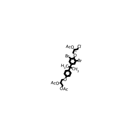 CC(=O)OC[C@@H](COc1ccc(C(C)(C)c2cc(Br)c(OC[C@@H](CCl)OC(C)=O)c(Br)c2)cc1)OC(C)=O